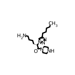 CCCCCc1cn([C@@H](CCCCN)C(=O)N2CCNCC2)nn1